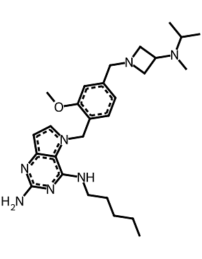 CCCCCNc1nc(N)nc2ccn(Cc3ccc(CN4CC(N(C)C(C)C)C4)cc3OC)c12